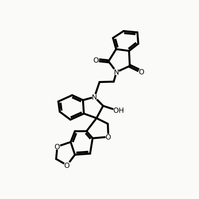 O=C1c2ccccc2C(=O)N1CCN1c2ccccc2C2(COc3cc4c(cc32)OCO4)C1O